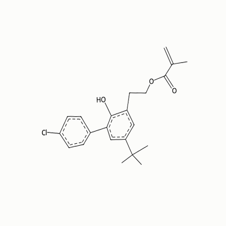 C=C(C)C(=O)OCCc1cc(C(C)(C)C)cc(-c2ccc(Cl)cc2)c1O